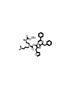 CN(C)CCCN(CCN(C)C(=O)OC(C)(C)C)C(=O)Oc1c(Cc2ccco2)nc2c(Cc3ccccc3)nc(-c3ccccc3)cn12